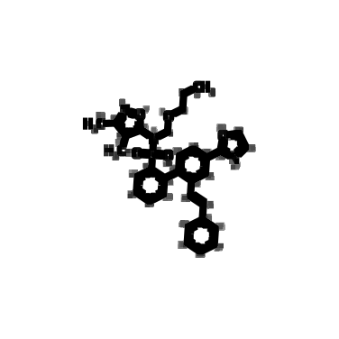 CCCOCN(c1onc(C)c1C)S(=O)(=O)c1ccccc1-c1ccc(-c2ncco2)cc1C=Cc1ccccc1